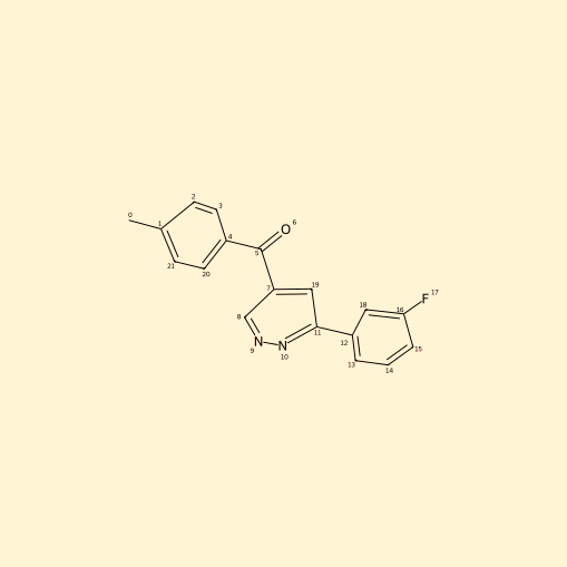 Cc1ccc(C(=O)c2cnnc(-c3cccc(F)c3)c2)cc1